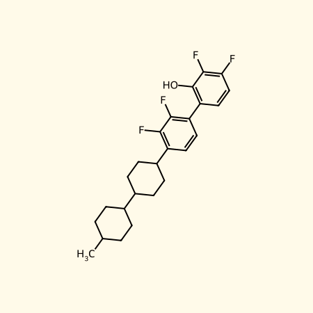 CC1CCC(C2CCC(c3ccc(-c4ccc(F)c(F)c4O)c(F)c3F)CC2)CC1